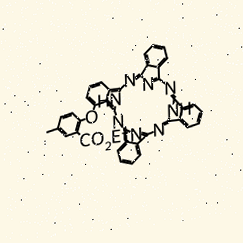 CCOC(=O)c1cc(C)ccc1Oc1cccc2c3nc4nc(nc5[nH]c(nc6nc(nc([nH]3)c12)-c1ccccc1-6)c1ccccc51)-c1ccccc1-4